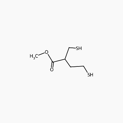 COC(=O)C(CS)CCS